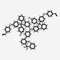 C=Cc1ccc(Oc2ccc(C3(c4ccc(F)cc4)c4ccccc4-c4ccc(N(c5ccc(-c6cccc7c6Oc6ccccc6C7(C)C)cc5)c5ccc6c(c5)C(c5ccc(F)cc5)(c5ccc(Oc7ccc(C=C)cc7)cc5)c5ccccc5-6)cc43)cc2)cc1